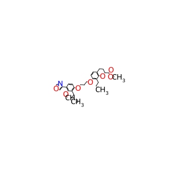 CCCc1c(OCCCOc2ccc(-c3cocn3)c(OC)c2CCC)ccc2c1OC(C(=O)OC)CC2